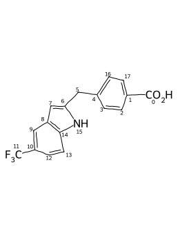 O=C(O)c1ccc(Cc2cc3cc(C(F)(F)F)ccc3[nH]2)cc1